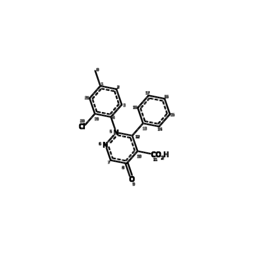 Cc1ccc(-n2ncc(=O)c(C(=O)O)c2-c2ccccc2)c(Cl)c1